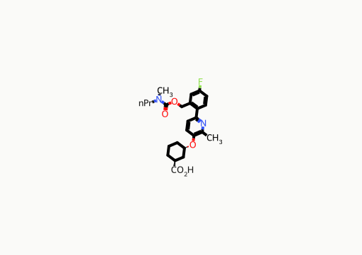 CCCN(C)C(=O)OCc1cc(F)ccc1-c1ccc(O[C@H]2CCC[C@H](C(=O)O)C2)c(C)n1